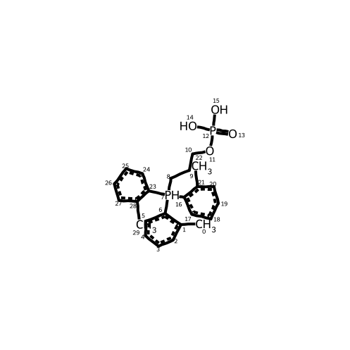 Cc1ccccc1[PH](CCCOP(=O)(O)O)(c1ccccc1C)c1ccccc1C